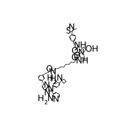 Cc1ncsc1-c1ccc(CNC(=O)[C@@H]2C[C@@H](O)CN2C(=O)[C@@H](NC(=O)CCCCCCCCNC(=O)CCc2cccc(-c3ccc4nc(-c5cccnc5N)n(-c5ccc(C6(N)CCC6)cc5)c4n3)c2)C(C)(C)C)cc1